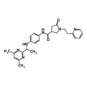 Cc1cc(C)nc(C(C)Nc2ccc(NC(=O)C3CC(=O)N(CCc4ccccn4)C3)cc2)n1